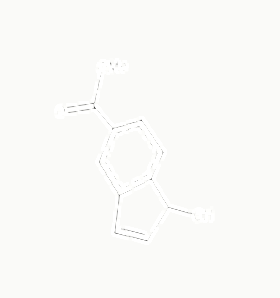 COC(=O)c1ccc2c(c1)C=CC2O